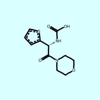 O=C(O)N[C@H](C(=O)N1CCOCC1)c1cccs1